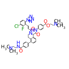 CN(C)CCNC(=O)c1ccc(-c2cccc3c2CCN(C(=O)C=Cc2c(-n4cnnn4)ccc(Cl)c2F)C3C(=O)Nc2ccc(C(=O)OCCN(C)C)cc2)cc1